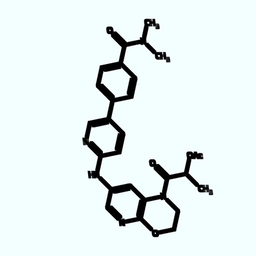 CC(=O)OC(C)C(=O)N1CCOc2ncc(Nc3ccc(-c4ccc(C(=O)N(C)C)cc4)cn3)cc21